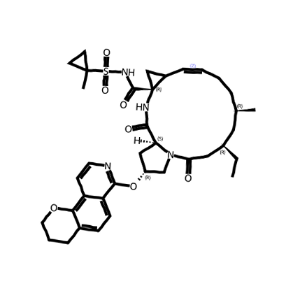 CC[C@H]1CC(=O)N2C[C@H](Oc3nccc4c5c(ccc34)CCCO5)C[C@H]2C(=O)N[C@]2(C(=O)NS(=O)(=O)C3(C)CC3)CC2/C=C\CC[C@@H](C)C1